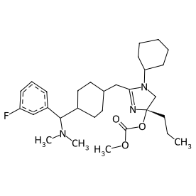 CCC[C@]1(OC(=O)OC)CN(C2CCCCC2)C(CC2CCC(C(c3cccc(F)c3)N(C)C)CC2)=N1